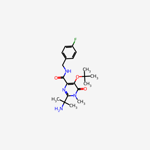 Cn1c(C(C)(C)N)nc(C(=O)NCc2ccc(F)cc2)c(OC(C)(C)C)c1=O